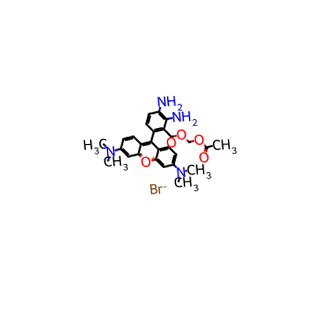 CC(=O)OCOC(=O)c1c(-c2c3ccc(N(C)C)cc3[o+]c3cc(N(C)C)ccc23)ccc(N)c1N.[Br-]